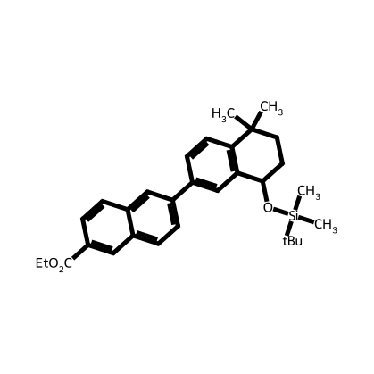 CCOC(=O)c1ccc2cc(-c3ccc4c(c3)C(O[Si](C)(C)C(C)(C)C)CCC4(C)C)ccc2c1